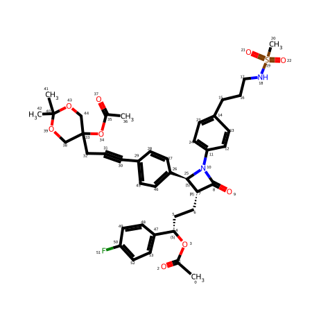 CC(=O)O[C@@H](CC[C@H]1C(=O)N(c2ccc(CCCNS(C)(=O)=O)cc2)[C@@H]1c1ccc(C#CCC2(OC(C)=O)COC(C)(C)OC2)cc1)c1ccc(F)cc1